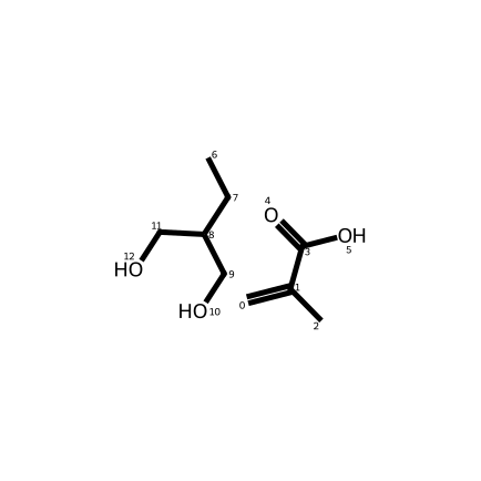 C=C(C)C(=O)O.CCC(CO)CO